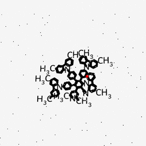 Cc1ccc2c(c1)c1cc(C)ccc1n2-c1ccc(-c2c(-c3cc(C)nc(C)c3)c(C#N)c(-n3c4ccccc4c4cc(C)ccc43)c(-c3ccc(-n4c5ccc(C)cc5c5cc(C)ccc54)cc3)c2-c2ccc(-n3c4ccc(C)cc4c4cc(C)ccc43)cc2)cc1